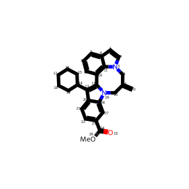 C=C1Cn2ccc3cccc(c32)-c2c(C3CCCCC3)c3ccc(C(=O)OC)cc3n2C1